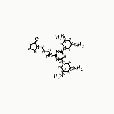 N[C@@H]1C[C@H](N)CN(c2nc(NCCCN3CCCC3=O)nc(N3C[C@H](N)C[C@H](N)C3)n2)C1